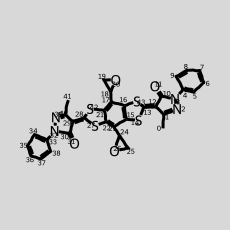 CC1=NN(c2ccccc2)C(=O)C1=C1Sc2c(c(C3CO3)c3c(c2C2CO2)SC(=C2C(=O)N(c4ccccc4)N=C2C)S3)S1